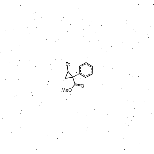 CCC1CC1(C(=O)OC)c1ccccc1